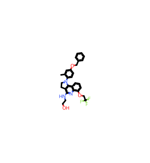 Cc1cc(OCc2ccccc2)ccc1N1CCc2c(NCCO)nc3c(OCC(F)(F)F)cccc3c21